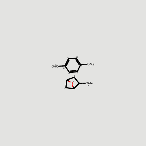 COC1CC2CC1O2.COc1ccc(C=O)cc1